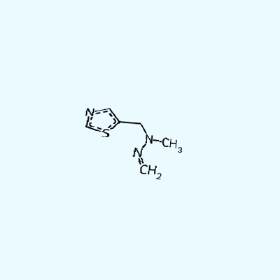 C=NN(C)Cc1cncs1